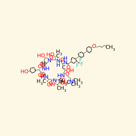 CCCCCOc1ccc(-c2ccc(-c3ccc(C(=O)N[C@H]4C[C@@H](O)[C@@H](OCC[N+](C)(C)C)NC(=O)[C@@H]5[C@@H](O)[C@@H](C)CN5C(=O)[C@H]([C@@H](C)O)NC(=O)[C@H]([C@H](O)[C@@H](O)c5ccc(O)cc5)NC(=O)[C@@H]5C[C@@H](O)CN5C(=O)[C@H]([C@@H](C)O)NC4=O)cc3C(F)(F)F)cc2)cc1